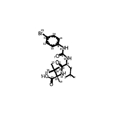 CC(C)C[C@H](NC(=O)Nc1ccc(Br)cc1)C(=O)N[C@](C)(C(=O)O)C(C)(C)C